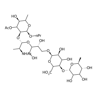 CCCO[C@@H]1OC(C)[C@H](O)C(OC(C)=O)[C@@H]1O[C@H](OC(CO)[C@H](O)CO[C@@H]1OC(C(=O)O)[C@H](O[C@@H]2O[C@@H](C)[C@H](O)C(O)C2O)C(O)[C@@H]1O)[C@H](C)NC(C)=O